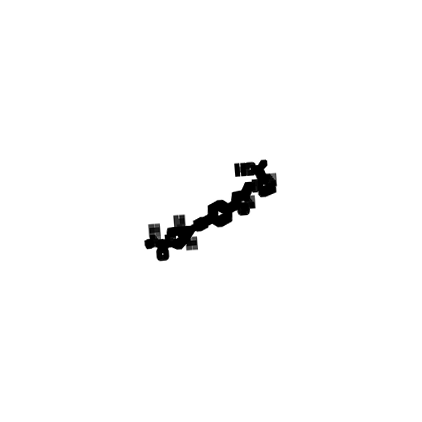 CNC(=O)N1C[C@@H]2[C@H](C#Cc3ccc(-c4cc(Cn5ccnc5[C@H](C)O)no4)cc3)[C@@H]2C1